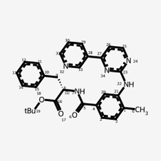 Cc1ccc(C(=O)N[C@@H](Cc2ccccc2)C(=O)OC(C)(C)C)cc1Nc1nccc(-c2cccnc2)n1